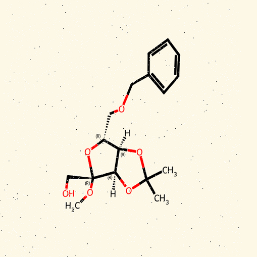 CO[C@]1(CO)O[C@H](COCc2ccccc2)[C@H]2OC(C)(C)O[C@H]21